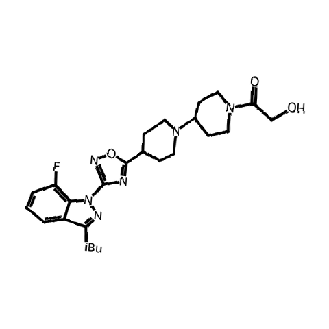 CCC(C)c1nn(-c2noc(C3CCN(C4CCN(C(=O)CO)CC4)CC3)n2)c2c(F)cccc12